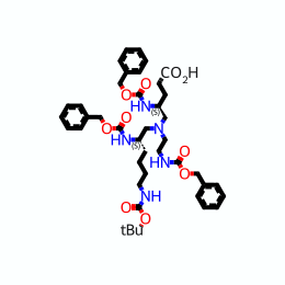 CC(C)(C)OC(=O)NCCCC[C@@H](CN(CCNC(=O)OCc1ccccc1)C[C@H](CCC(=O)O)NC(=O)OCc1ccccc1)NC(=O)OCc1ccccc1